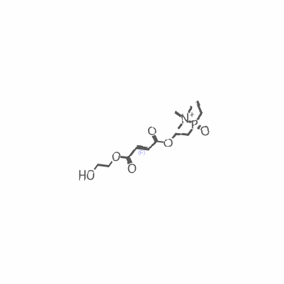 CCP(=O)(CCOC(=O)/C=C/C(=O)OCCO)[N+](C)(C)C